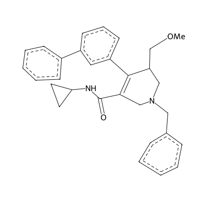 COCC1CN(Cc2ccccc2)CC(C(=O)NC2CC2)=C1c1cccc(-c2ccccc2)c1